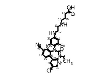 CCN1C(=O)N(c2c(F)cc(NCCNCCCC(=O)O)cc2F)c2cc(C#N)ccc2-c2cc(Cl)cnc21